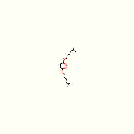 CC(C)CCCCOC(=O)/C=C\C(=O)OCCCCC(C)C